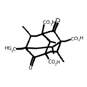 CC1C2(C(=O)O)C(=O)C3(C(=O)O)C(C)C1(C(=O)O)C(=O)C(C(=O)O)(C2C)C3C